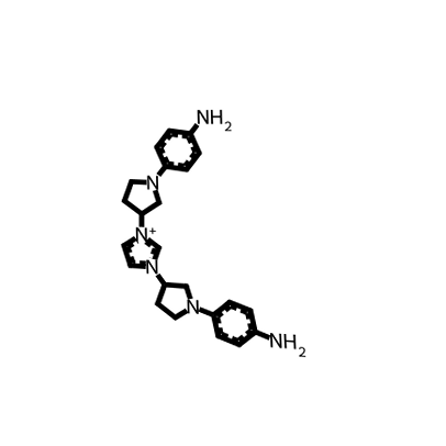 Nc1ccc(N2CCC(n3cc[n+](C4CCN(c5ccc(N)cc5)C4)c3)C2)cc1